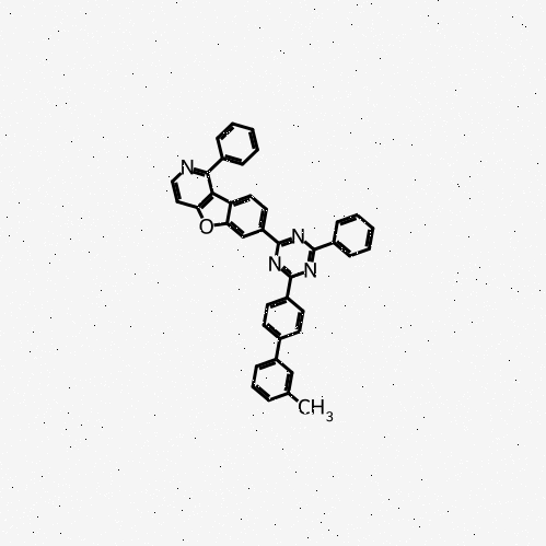 Cc1cccc(-c2ccc(-c3nc(-c4ccccc4)nc(-c4ccc5c(c4)oc4ccnc(-c6ccccc6)c45)n3)cc2)c1